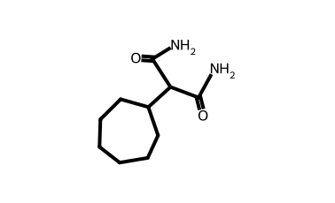 NC(=O)C(C(N)=O)C1CCCCCC1